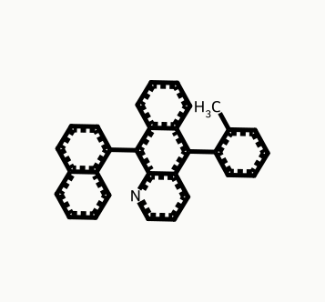 Cc1ccccc1-c1c2ccccc2c(-c2cccc3ccccc23)c2ncccc12